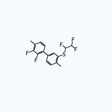 Cc1ccc(-c2ccc(C)c(F)c2F)cc1SC(F)C(F)F